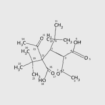 CC(=O)C(C(=O)O)C(C(C)(C)C)C(C(C)=O)(C(=O)O)C(C)(C)C